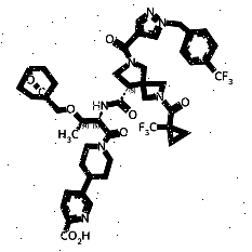 C[C@@H](OCC12CCC(CC1)OC2)[C@H](NC(=O)[C@@H]1CN(C(=O)c2cnn(Cc3ccc(C(F)(F)F)cc3)c2)CC12CN(C(=O)C1(C(F)(F)F)CC1)C2)C(=O)N1CCC(c2ccc(C(=O)O)nc2)CC1